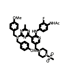 COc1ccc(CN(Cc2ccc(OC)cc2)c2nc(C)nc(-c3cc(CN4CCN(S(C)(=O)=O)CC4)cnc3Nc3ccc(NC(C)=O)c(F)c3)n2)cc1